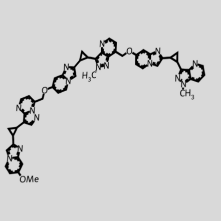 COc1ccn2cc(C3CC3c3cnn4c(COc5ccn6cc(C7CC7c7c8nccc(COc9ccn%10cc(C%11CC%11c%11nn(C)c%12cccnc%11%12)nc%10c9)c8nn7C)nc6c5)ccnc34)nc2c1